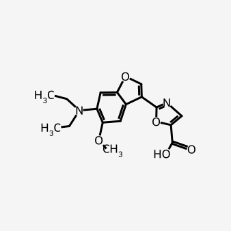 CCN(CC)c1cc2occ(-c3ncc(C(=O)O)o3)c2cc1OC